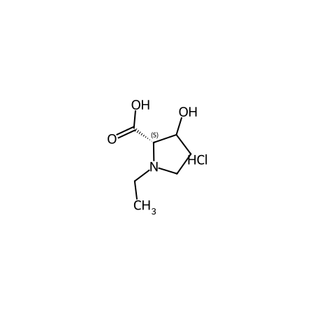 CCN1CCC(O)[C@H]1C(=O)O.Cl